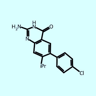 CC(C)c1cc2nc(N)[nH]c(=O)c2cc1-c1ccc(Cl)cc1